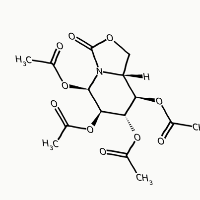 CC(=O)O[C@@H]1[C@@H](OC(C)=O)[C@@H](OC(C)=O)N2C(=O)OC[C@@H]2[C@H]1OC(C)=O